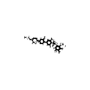 CCC1CCC(c2ccc(-c3cc(F)c(C(F)(F)Oc4cc(F)c(F)c(F)c4C)c(F)c3)c(F)c2)OC1